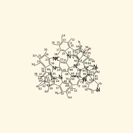 Cc1c(C)c(C)c2c(c1C)c1c(C)c(C)c(C)c(C)c1n2-c1c(C#N)c(-n2c3c(C)c(C)c(C)c(C)c3c3c(C)c(C)c(C)c(C)c32)c(-n2c3c(C)c(C)c(C)c(C)c3c3c(C)c(C)c(C)c(C)c32)c(-c2cccc(-n3c4ccncc4c4cnccc43)c2)c1-n1c2c(C)c(C)c(C)c(C)c2c2c(C)c(C)c(C)c(C)c21